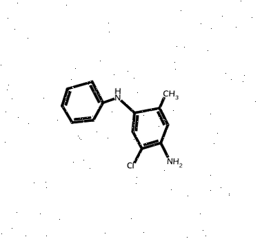 Cc1cc(N)c(Cl)cc1Nc1ccccc1